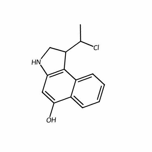 CC(Cl)C1CNc2cc(O)c3ccccc3c21